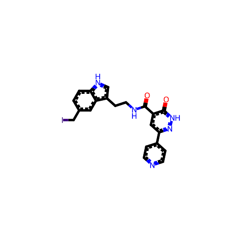 O=C(NCCc1c[nH]c2ccc(CI)cc12)c1cc(-c2ccncc2)n[nH]c1=O